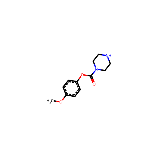 COc1ccc(OC(=O)N2CCNCC2)cc1